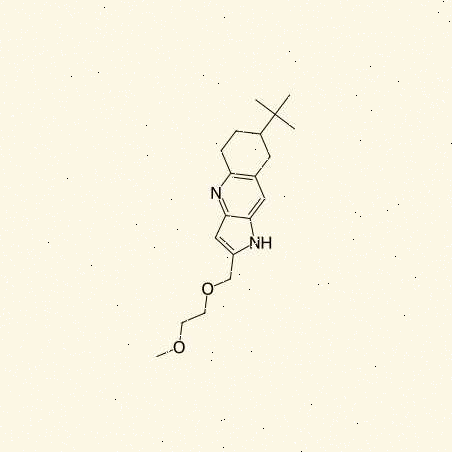 COCCOCc1cc2nc3c(cc2[nH]1)CC(C(C)(C)C)CC3